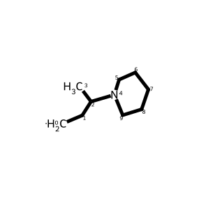 [CH2]CC(C)N1CCCCC1